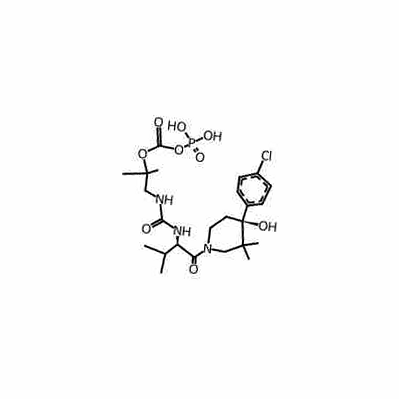 CC(C)[C@@H](NC(=O)NCC(C)(C)OC(=O)OP(=O)(O)O)C(=O)N1CC[C@](O)(c2ccc(Cl)cc2)C(C)(C)C1